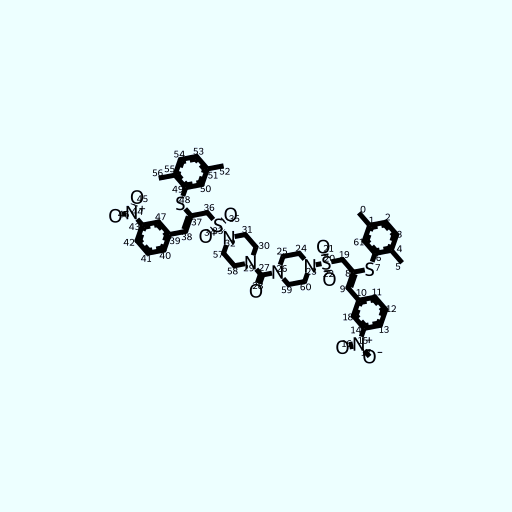 Cc1ccc(C)c(SC(=Cc2cccc([N+](=O)[O-])c2)CS(=O)(=O)N2CCN(C(=O)N3CCN(S(=O)(=O)CC(=Cc4cccc([N+](=O)[O-])c4)Sc4cc(C)ccc4C)CC3)CC2)c1